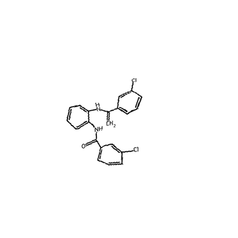 C=C(Nc1ccccc1NC(=O)c1cccc(Cl)c1)c1cccc(Cl)c1